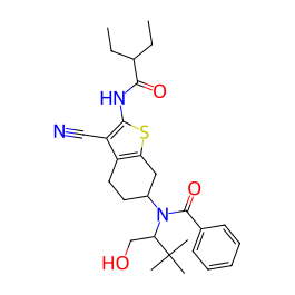 CCC(CC)C(=O)Nc1sc2c(c1C#N)CCC(N(C(=O)c1ccccc1)C(CO)C(C)(C)C)C2